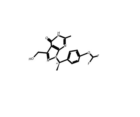 Cc1nc2c(c(CO)nn2[C@H](C)c2ccc(OC(F)F)cc2)c(=O)[nH]1